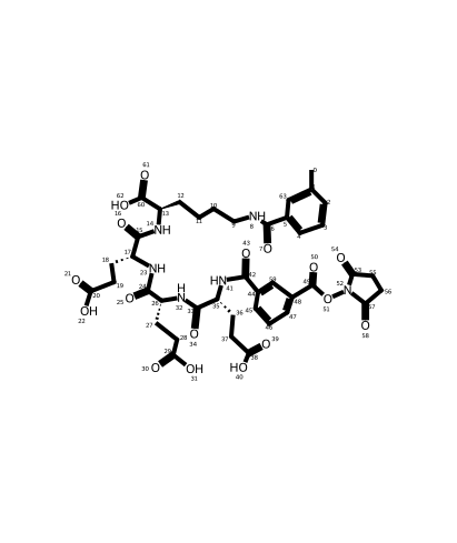 Cc1cccc(C(=O)NCCCC[C@@H](NC(=O)[C@@H](CCC(=O)O)NC(=O)[C@@H](CCC(=O)O)NC(=O)[C@@H](CCC(=O)O)NC(=O)c2cccc(C(=O)ON3C(=O)CCC3=O)c2)C(=O)O)c1